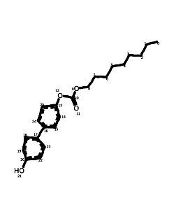 CCCCCCCCCOC(=O)Oc1ccc(-c2ccc(O)cc2)cc1